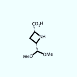 COC(OC)[C@@H]1C[C@H](C(=O)O)N1